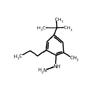 CCCc1cc(C(C)(C)C)cc(C)c1NN